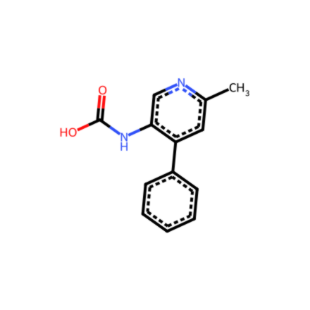 Cc1cc(-c2ccccc2)c(NC(=O)O)cn1